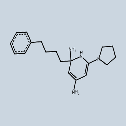 NC1=CC(N)(CCCCc2ccccc2)NC(N2CCCC2)=C1